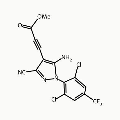 COC(=O)C#Cc1c(C#N)nn(-c2c(Cl)cc(C(F)(F)F)cc2Cl)c1N